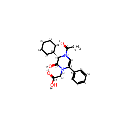 CC(=O)N1C=C(c2ccccc2)N(CC(=O)O)C(=O)[C@@H]1C1CCCCC1